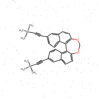 C[Si](C)(C)C#Cc1ccc2c3c(ccc2c1)OCOc1ccc2cc(C#C[Si](C)(C)C)ccc2c1-3